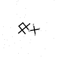 CC1(C)C[CH]C1(C)OC(F)(F)F